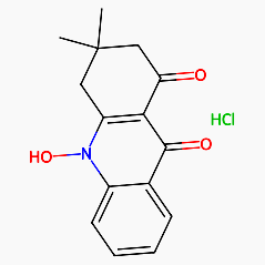 CC1(C)CC(=O)c2c(n(O)c3ccccc3c2=O)C1.Cl